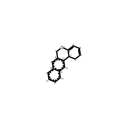 C1=CCC2C(=C1)OCc1cc3ccccc3cc12